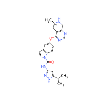 CC(C)c1cc(NC(=O)n2ccc3cc(Oc4ncnc5c4C[C@@H](C)NC5)ccc32)n[nH]1